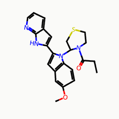 CCC(=O)N1CCSCC1n1c(-c2cc3cccnc3[nH]2)cc2cc(OC)ccc21